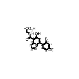 O=C(O)CNC(=O)c1c(O)cc(-c2ccc(Cl)cc2F)n2ncnc12